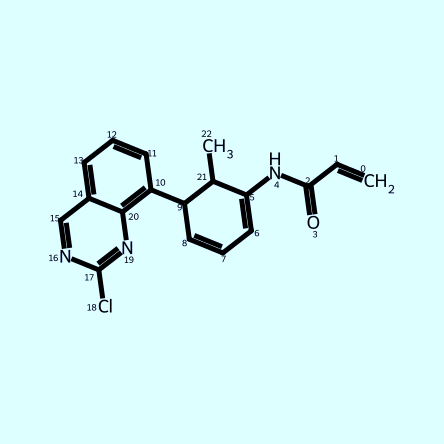 C=CC(=O)NC1=CC=CC(c2cccc3cnc(Cl)nc23)C1C